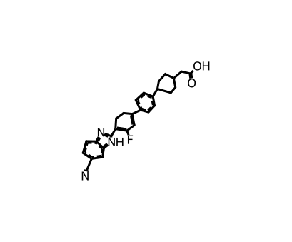 N#Cc1ccc2nc(C3=C(F)C=C(c4ccc(C5CCC(CC(=O)O)CC5)cc4)CC3)[nH]c2c1